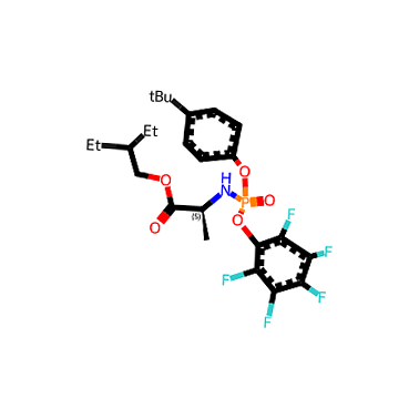 CCC(CC)COC(=O)[C@H](C)NP(=O)(Oc1ccc(C(C)(C)C)cc1)Oc1c(F)c(F)c(F)c(F)c1F